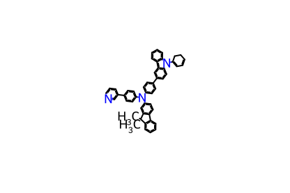 CC1(C)c2ccccc2-c2ccc(N(c3ccc(-c4cccnc4)cc3)c3ccc(-c4ccc5c(c4)c4ccccc4n5C4=CC=CCC4)cc3)cc21